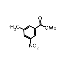 [CH2]c1cc(C(=O)OC)cc([N+](=O)[O-])c1